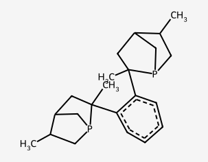 CC1CP2CC1CC2(C)c1ccccc1C1(C)CC2CP1CC2C